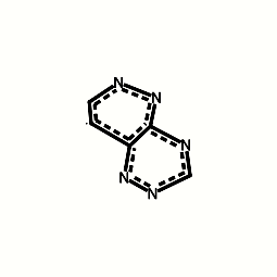 [c]1cnnc2ncnnc12